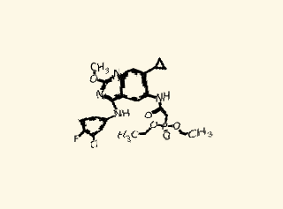 CCOP(=O)(CC(=O)Nc1cc2c(Nc3ccc(F)c(Cl)c3)nc(OC)nc2cc1C1CC1)OCC